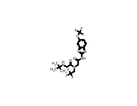 CC(C)(C)NCC(=O)N(CC(=O)Nc1nc2ccc(OC(F)(F)F)cc2s1)CC(F)(F)F